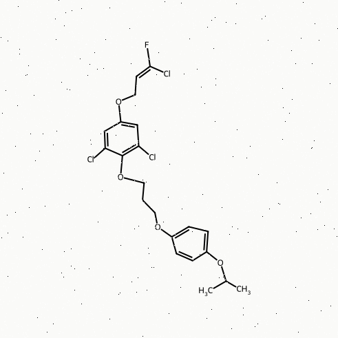 CC(C)Oc1ccc(OCCCOc2c(Cl)cc(OCC=C(F)Cl)cc2Cl)cc1